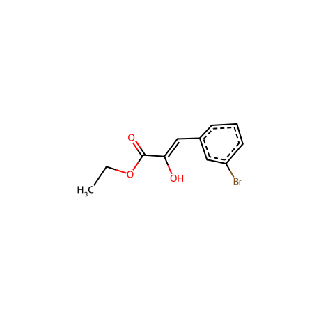 CCOC(=O)/C(O)=C/c1cccc(Br)c1